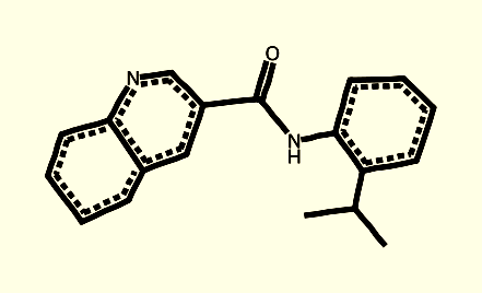 CC(C)c1ccccc1NC(=O)c1cnc2ccccc2c1